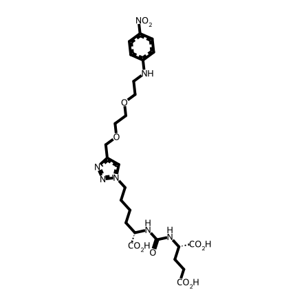 O=C(O)CC[C@H](NC(=O)N[C@@H](CCCCn1cc(COCCOCCNc2ccc([N+](=O)[O-])cc2)nn1)C(=O)O)C(=O)O